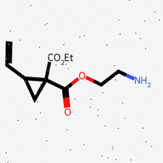 C=CC1CC1(C(=O)OCC)C(=O)OCCN